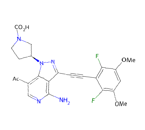 COc1cc(OC)c(F)c(C#Cc2nn([C@H]3CCN(C(=O)O)C3)c3c(C(C)=O)cnc(N)c23)c1F